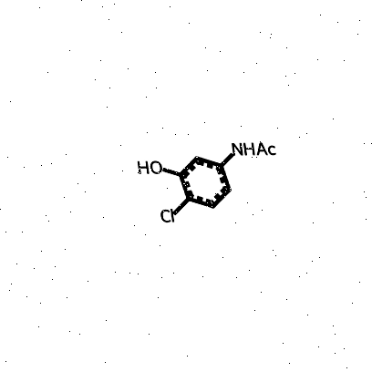 CC(=O)Nc1ccc(Cl)c(O)c1